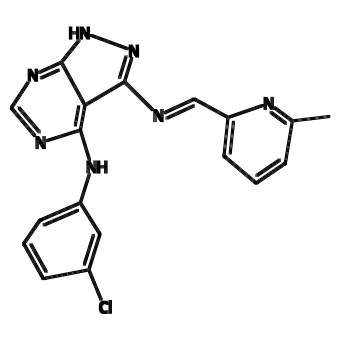 Cc1cccc(C=Nc2n[nH]c3ncnc(Nc4cccc(Cl)c4)c23)n1